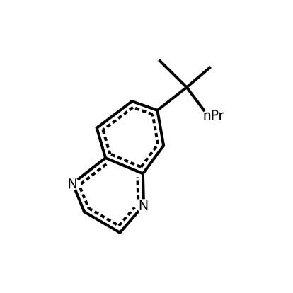 CCCC(C)(C)c1ccc2nccnc2c1